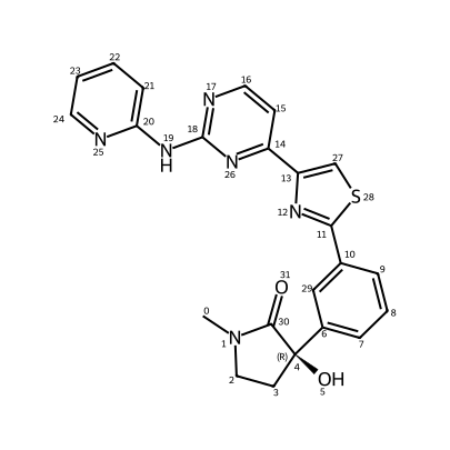 CN1CC[C@@](O)(c2cccc(-c3nc(-c4ccnc(Nc5ccccn5)n4)cs3)c2)C1=O